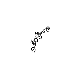 CC1(C)CN(Cc2cccnc2)c2ccc(OC(=O)NCCSCc3ccco3)cc21